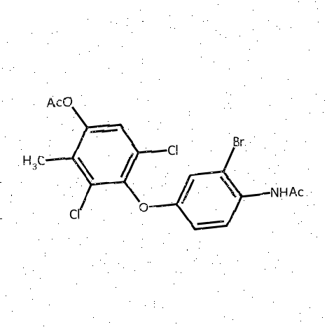 CC(=O)Nc1ccc(Oc2c(Cl)cc(OC(C)=O)c(C)c2Cl)cc1Br